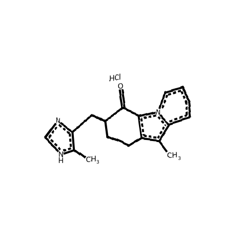 Cc1[nH]cnc1CC1CCc2c(C)c3ccccn3c2C1=O.Cl